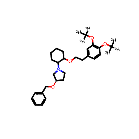 [2H]C([2H])([2H])Oc1ccc(CCOC2CCCCC2N2CC[C@@H](OCc3ccccc3)C2)cc1OC([2H])([2H])[2H]